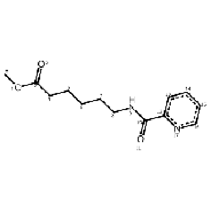 COC(=O)CCCCCNC(=O)c1ccccn1